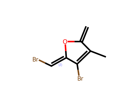 C=c1o/c(=C\Br)c(Br)c1C